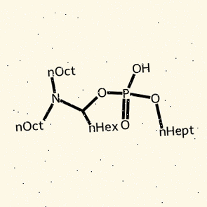 CCCCCCCCN(CCCCCCCC)C(CCCCCC)OP(=O)(O)OCCCCCCC